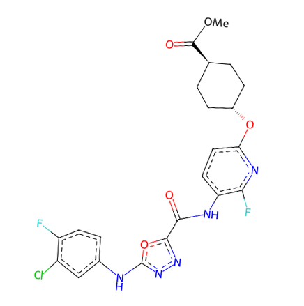 COC(=O)[C@H]1CC[C@H](Oc2ccc(NC(=O)c3nnc(Nc4ccc(F)c(Cl)c4)o3)c(F)n2)CC1